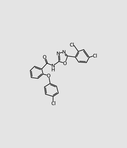 O=C(Nc1nnc(-c2ccc(Cl)cc2Cl)o1)c1ccccc1Oc1ccc(Cl)cc1